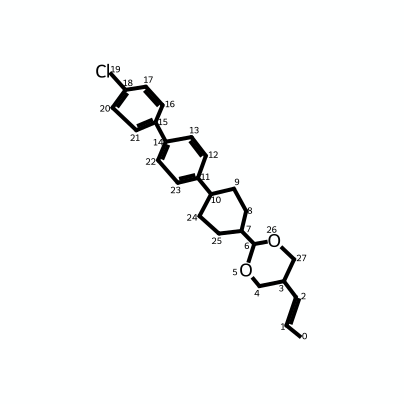 CC=CC1COC(C2CCC(c3ccc(-c4ccc(Cl)cc4)cc3)CC2)OC1